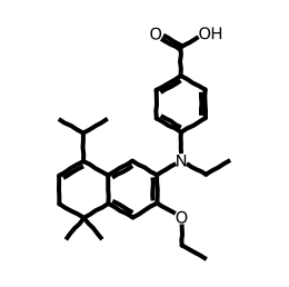 CCOc1cc2c(cc1N(CC)c1ccc(C(=O)O)cc1)C(C(C)C)=CCC2(C)C